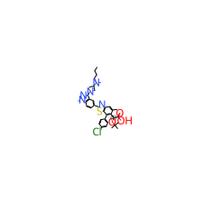 CCCCN(C)C1CN(c2nn(C)c3ccc(-c4nc5cc(C)c([C@H](OC(C)(C)C)C(=O)O)c(-c6ccc(Cl)cc6)c5s4)cc23)C1